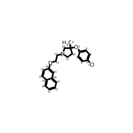 CC1(Oc2ccc(Cl)cc2)CCN(CCOc2ccc3ccccc3c2)C1